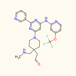 CNCC1(CC=O)CCN(c2cc(Nc3cc(OC(F)(F)F)ccn3)nc(-c3cccnc3)n2)CC1